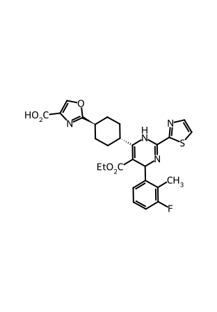 CCOC(=O)C1=C([C@H]2CC[C@H](c3nc(C(=O)O)co3)CC2)NC(c2nccs2)=NC1c1cccc(F)c1C